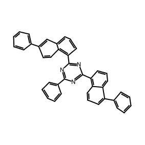 c1ccc(-c2ccc3c(-c4nc(-c5ccccc5)nc(-c5cccc6c(-c7ccccc7)cccc56)n4)cccc3c2)cc1